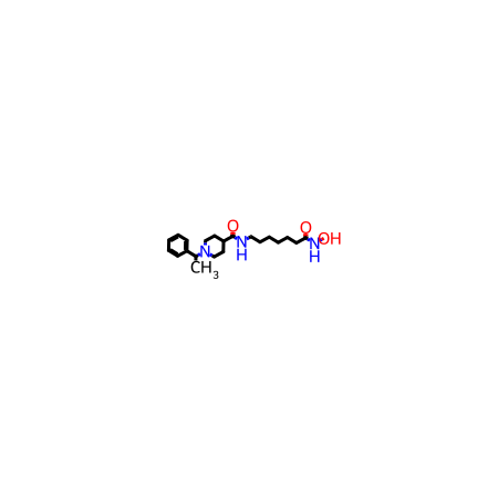 CC(c1ccccc1)N1CCC(C(=O)NCCCCCCC(=O)NO)CC1